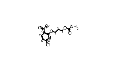 NC(=O)OCCCOc1nc(Cl)ccc1[N+](=O)[O-]